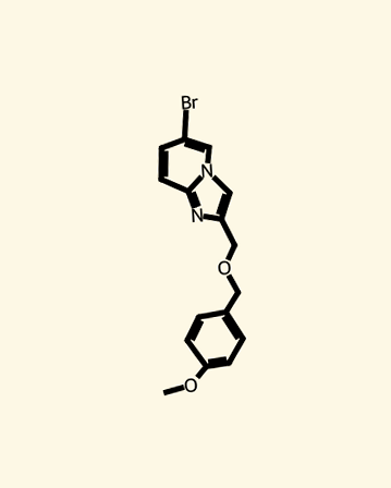 COc1ccc(COCc2cn3cc(Br)ccc3n2)cc1